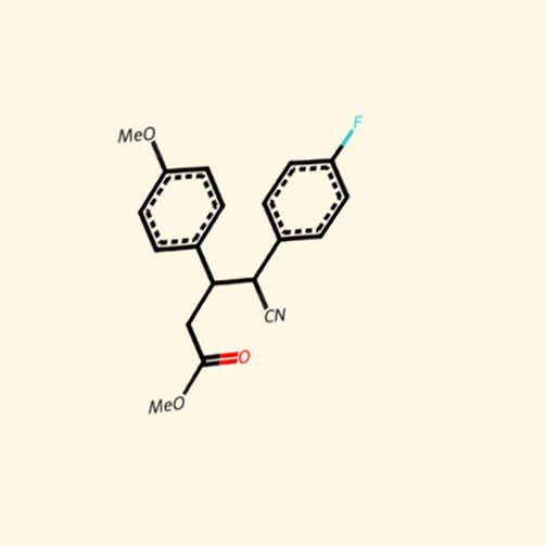 COC(=O)CC(c1ccc(OC)cc1)C(C#N)c1ccc(F)cc1